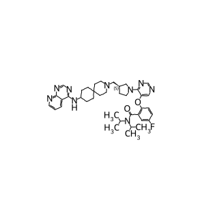 CC(C)N(C(=O)c1cc(F)ccc1Oc1cncnc1N1CC[C@@H](CN2CCC3(CCC(Nc4ncnc5ncccc45)CC3)CC2)C1)C(C)C